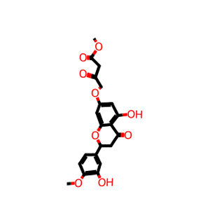 COC(=O)CC(=O)COc1cc(O)c2c(c1)OC(c1ccc(OC)c(O)c1)CC2=O